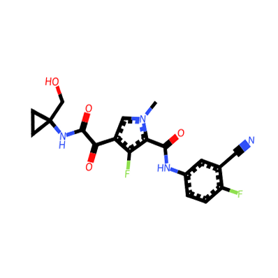 Cn1cc(C(=O)C(=O)NC2(CO)CC2)c(F)c1C(=O)Nc1ccc(F)c(C#N)c1